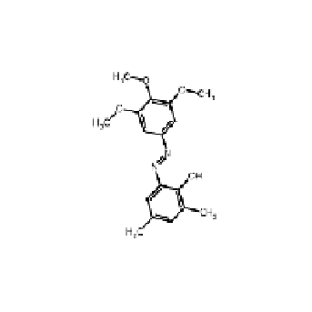 [CH2]c1cc(C)cc(/N=N/c2cc(OC)c(OC)c(OC)c2)c1O